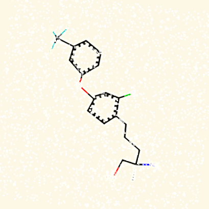 C[C@](N)(CO)CCCc1ccc(Oc2cccc(C(F)(F)F)c2)cc1Cl